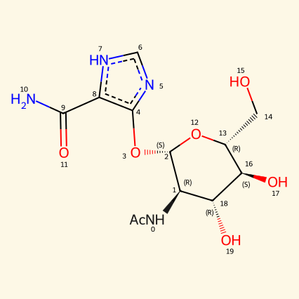 CC(=O)N[C@H]1[C@H](Oc2nc[nH]c2C(N)=O)O[C@H](CO)[C@@H](O)[C@@H]1O